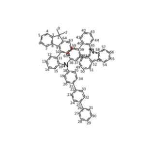 CC1(C)c2ccccc2-c2c(-c3ccccc3N(c3ccc(-c4ccc(-c5ccccc5)cc4)cc3)c3ccc(-c4ccccc4-n4c5ccccc5c5ccccc54)cc3)cccc21